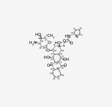 C[C@@H]1O[C@@H](O[C@H]2C[C@](O)(COC(=O)Nc3cccs3)Cc3c(O)c4c(c(O)c32)C(=O)c2ccccc2C4=O)C[C@H](N)[C@H]1O